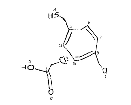 O=C(O)Cl.Sc1ccc(Cl)cc1